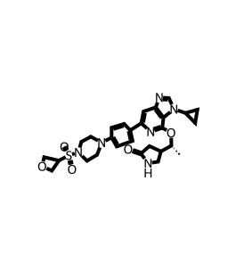 C[C@@H](Oc1nc(-c2ccc(N3CCN(S(=O)(=O)C4COC4)CC3)cc2)cc2ncn(C3CC3)c12)C1CNC(=O)C1